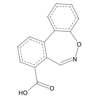 O=C(O)c1cccc2c1C=NOc1ccccc1-2